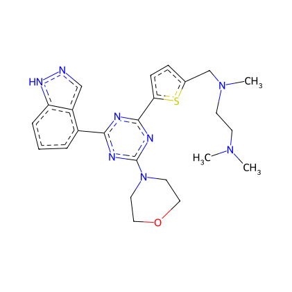 CN(C)CCN(C)Cc1ccc(-c2nc(-c3cccc4[nH]ncc34)nc(N3CCOCC3)n2)s1